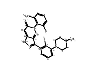 Cc1cccc(F)c1-n1nc2c(-c3cccc(N4CCN(C)CC4)c3F)n[nH]c2cc1=O